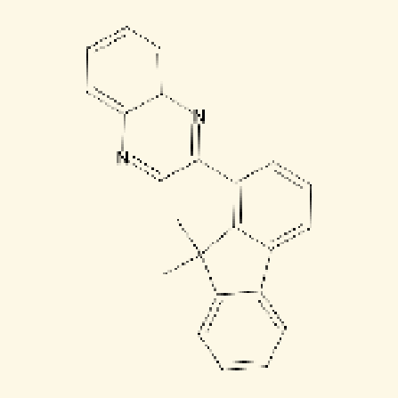 CC1(C)c2ccccc2-c2cccc(-c3cnc4ccccc4n3)c21